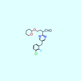 O=CC(CCOC1CCCCO1)c1ncc(Cc2cccc(Cl)c2F)cn1